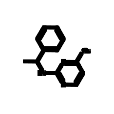 CC(Nc1nccc(C(C)(C)C)n1)c1ccccc1